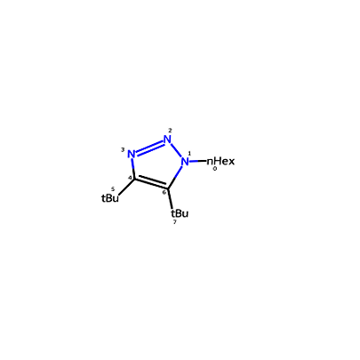 CCCCCCn1nnc(C(C)(C)C)c1C(C)(C)C